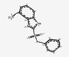 Nc1cccc2[nH]c(S(=O)(=O)Cc3ccccc3)nc12